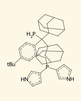 CC(C)(C)c1ccc(C(P)(C23CC4CC(CC(C4)C2)C3)C23CC4CC(CC(C4)C2)C3)c(CP(c2cc[nH]c2)c2cc[nH]c2)c1